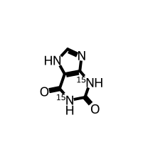 O=c1[15nH]c(=O)c2[nH]cnc2[15nH]1